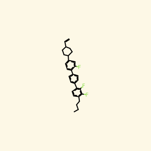 C=CC1CCC(c2ccc(-c3ccc(-c4ccc(CCCC)c(F)c4F)cc3)c(F)c2)CC1